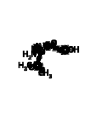 COc1cc(C#Cc2cn(C3CCN(C(=O)/C=C/CN4CCC(O)CC4)C3)c3ncnc(N)c23)cc(OC)c1